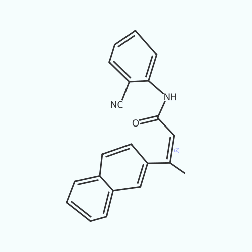 C/C(=C/C(=O)Nc1ccccc1C#N)c1ccc2ccccc2c1